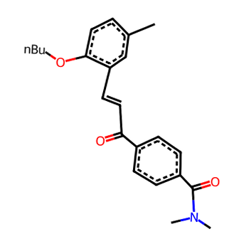 CCCCOc1ccc(C)cc1C=CC(=O)c1ccc(C(=O)N(C)C)cc1